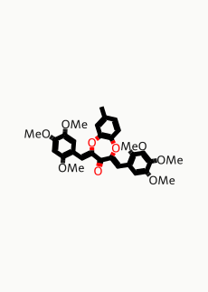 COc1cc(OC)c(OC)cc1/C=C1\Oc2ccc(C)cc2O/C(=C\c2cc(OC)c(OC)cc2OC)C1=O